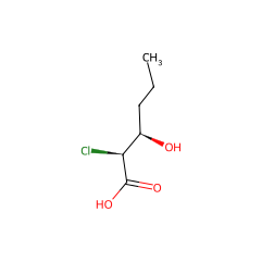 CCC[C@@H](O)[C@H](Cl)C(=O)O